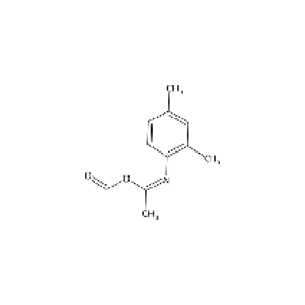 C/C(=N/c1ccc(C)cc1C)OC=O